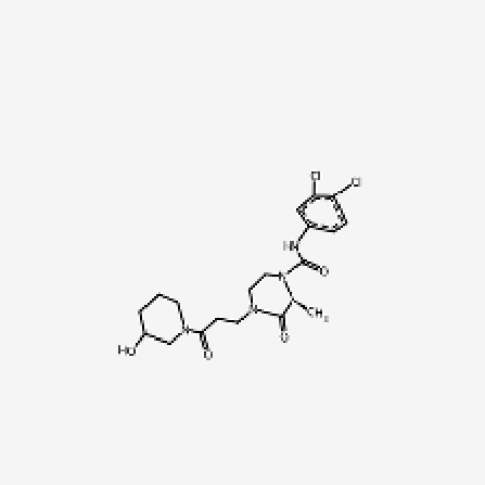 C[C@H]1C(=O)N(CCC(=O)N2CCCC(O)C2)CCN1C(=O)Nc1ccc(Cl)c(Cl)c1